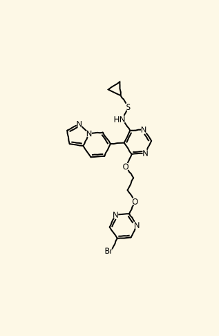 Brc1cnc(OCCOc2ncnc(NSC3CC3)c2-c2ccc3ccnn3c2)nc1